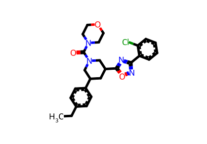 CCc1ccc(C2CC(c3nc(-c4ccccc4Cl)no3)CN(C(=O)N3CCOCC3)C2)cc1